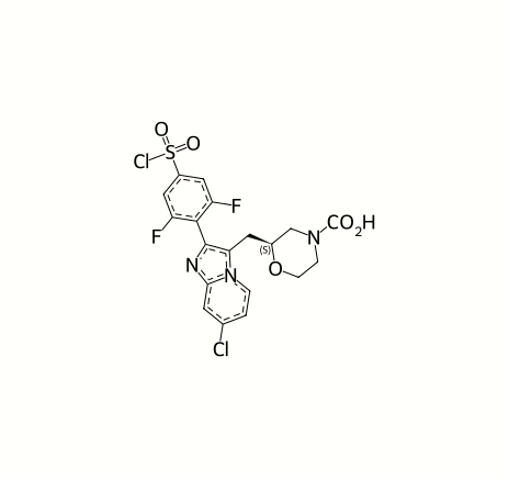 O=C(O)N1CCO[C@@H](Cc2c(-c3c(F)cc(S(=O)(=O)Cl)cc3F)nc3cc(Cl)ccn23)C1